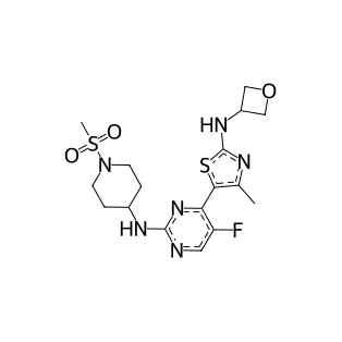 Cc1nc(NC2COC2)sc1-c1nc(NC2CCN(S(C)(=O)=O)CC2)ncc1F